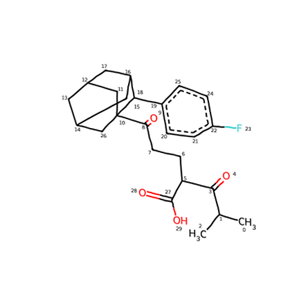 CC(C)C(=O)C(CCC(=O)C12CC3CC(CC(C3)C1c1ccc(F)cc1)C2)C(=O)O